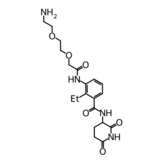 CCc1c(NC(=O)COCCOCCN)cccc1C(=O)NC1CCC(=O)NC1=O